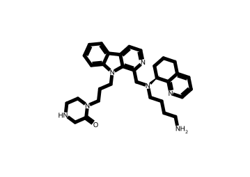 NCCCCN(Cc1nccc2c3ccccc3n(CCCN3CCNCC3=O)c12)[C@H]1CCCc2cccnc21